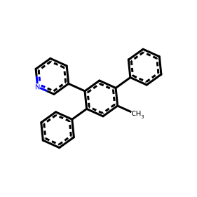 Cc1cc(-c2ccccc2)c(-c2cccnc2)cc1-c1ccccc1